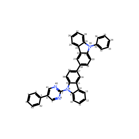 c1ccc(-c2cnc(-n3c4ccccc4c4cc(-c5ccc6c(c5)c5ccccc5n6-c5ccccc5)ccc43)nc2)cc1